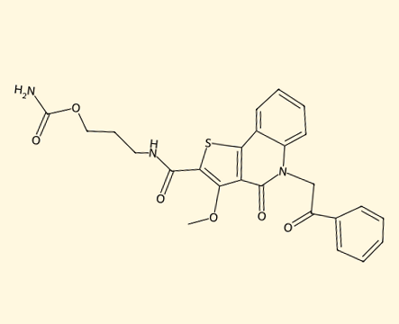 COc1c(C(=O)NCCCOC(N)=O)sc2c1c(=O)n(CC(=O)c1ccccc1)c1ccccc21